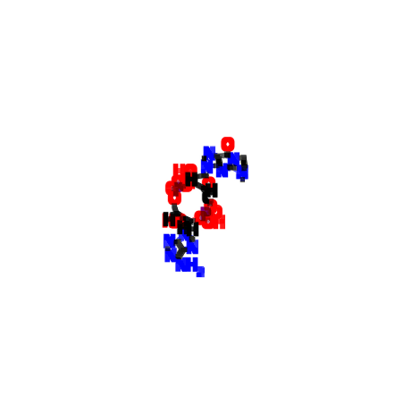 Cn1ccn2c(=O)c3ncn([C@@H]4O[C@@H]5COP(=O)(O)O[C@@H]6[C@H](O)[C@@H](COP(=O)(O)O[C@H]5[C@H]4O)O[C@H]6n4cnc5c(N)ncnc54)c3nc12